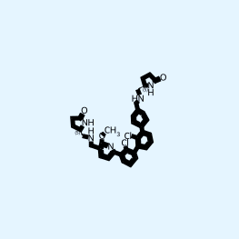 COc1nc(-c2cccc(-c3cccc(-c4ccc(CNC[C@@H]5CCC(=O)N5)cc4)c3Cl)c2Cl)ccc1CNC[C@@H]1CCC(=O)N1